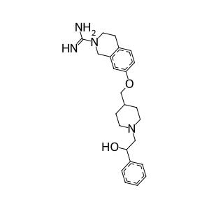 N=C(N)N1CCc2ccc(OCC3CCN(CC(O)c4ccccc4)CC3)cc2C1